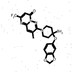 BC1(Oc2ccc3c(c2)OCO3)CCN(c2nn3c(=O)cc(C(F)(F)F)nc3cc2C)CC1